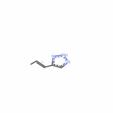 C/C=C/c1cn[nH]n1